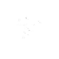 CC(C)C[C@@H]1CCO[C@@H]2[C@H](CN[C@@H]2C(=O)N[C@@H]2CC=C[C@@H](CN3CCOCC3)CS[C@H]3O[C@H]2[C@H](O)[C@H](O)[C@H]3O)C1.O=CO